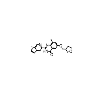 Cc1cc(OCC2CCOC2)cc2c(=O)[nH]c(-c3cc4ccsc4cn3)nc12